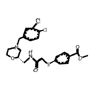 COC(=O)c1ccc(SCC(=O)NC[C@H]2CN(Cc3ccc(Cl)c(Cl)c3)CCO2)cc1